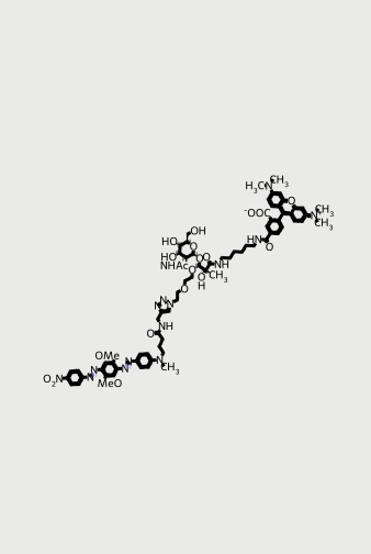 COc1cc(/N=N/c2ccc([N+](=O)[O-])cc2)c(OC)cc1/N=N/c1ccc(N(C)CCCC(=O)NCc2cn(CCOCCO[C@H](O[C@@H]3O[C@H](CO)[C@@H](O)[C@H](O)[C@H]3NC(C)=O)[C@@](C)(O)C(=O)NCCCCCCNC(=O)c3ccc(-c4c5ccc(=[N+](C)C)cc-5oc5cc(N(C)C)ccc45)c(C(=O)[O-])c3)nn2)cc1